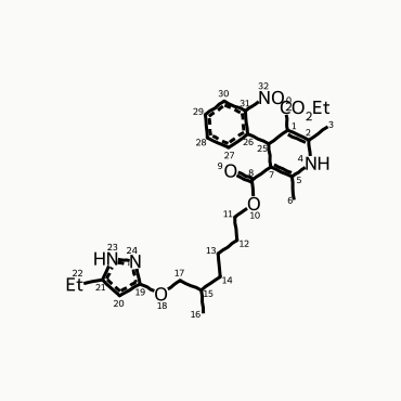 CCOC(=O)C1=C(C)NC(C)=C(C(=O)OCCCCC(C)COc2cc(CC)[nH]n2)C1c1ccccc1[N+](=O)[O-]